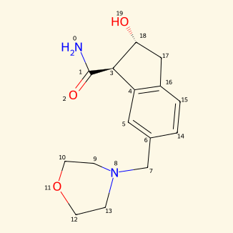 NC(=O)[C@@H]1c2cc(CN3CCOCC3)ccc2C[C@H]1O